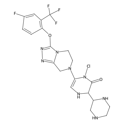 O=C1C(C2CNCCN2)NC=C(N2CCn3c(nnc3Oc3ccc(F)cc3C(F)(F)F)C2)N1Cl